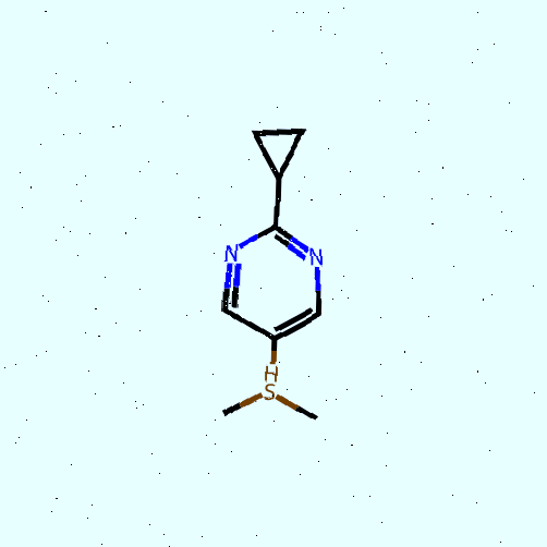 C[SH](C)c1cnc(C2CC2)nc1